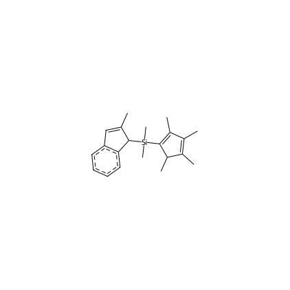 CC1=Cc2ccccc2C1[Si](C)(C)C1=C(C)C(C)=C(C)C1C